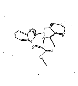 COC(=O)C(=O)N(Cc1nc2ccccc2s1)C(C)c1ncccc1F